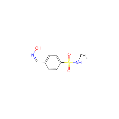 CNS(=O)(=O)c1ccc(/C=N\O)cc1